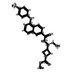 CC(C)(C)OC(=O)N1CC([C@@H](CO)NC(=O)c2ccc3c(Oc4ccc(C(F)(F)F)cc4)cccc3c2)C1